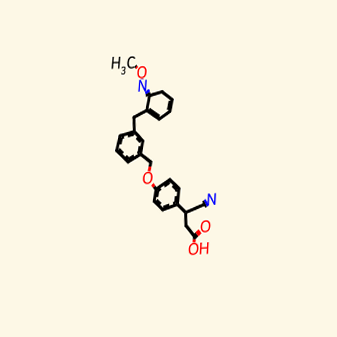 CO/N=C1\CC=CC=C1Cc1cccc(COc2ccc(C(C#N)CC(=O)O)cc2)c1